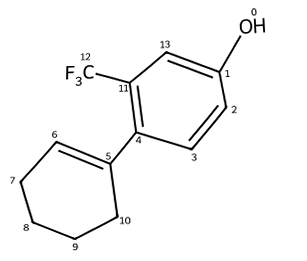 Oc1ccc(C2=CCCCC2)c(C(F)(F)F)c1